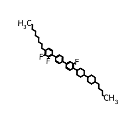 CCCCCCCCCc1ccc(-c2ccc(-c3ccc(C4CCC(C5CCC(CCCCC)CC5)CC4)c(F)c3)cc2)c(F)c1F